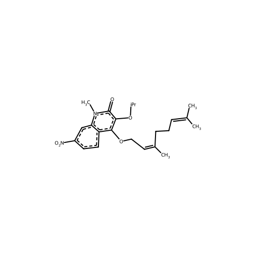 CC(C)=CCCC(C)=CCOc1c(OC(C)C)c(=O)n(C)c2cc([N+](=O)[O-])ccc12